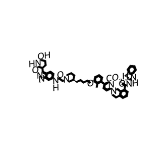 Cc1c(OCCCC[C@@H]2CCCN(CC(=O)Nc3ccc4c(C5CCC(O)NC5=O)nn(C)c4c3)C2)cccc1-c1ccc(N2CCc3cccc(C(=O)Nc4nc5ccccc5s4)c3C2)nc1C(=O)O